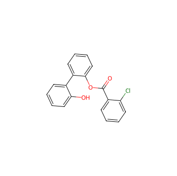 O=C(Oc1ccccc1-c1ccccc1O)c1ccccc1Cl